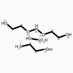 CCCCCCCCCCCCN.O=S(=O)(O)O.OCCONOCCO